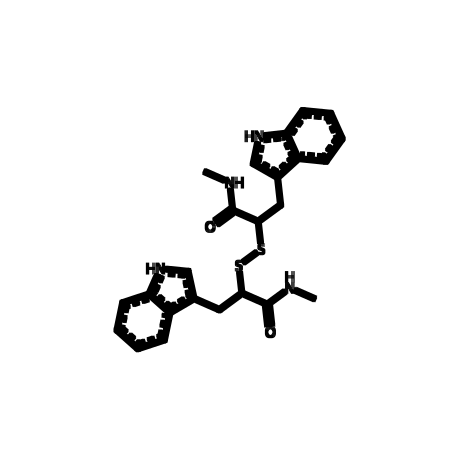 CNC(=O)C(Cc1c[nH]c2ccccc12)SSC(Cc1c[nH]c2ccccc12)C(=O)NC